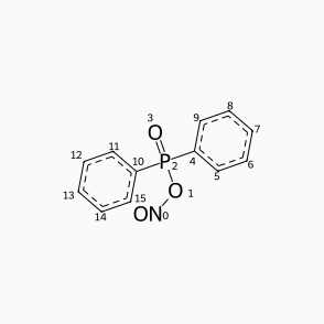 O=NOP(=O)(c1ccccc1)c1ccccc1